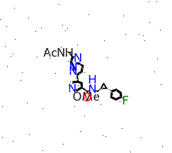 COc1ncc(-c2ccc3nc(NC(C)=O)cn3n2)cc1C(=O)NC[C@H]1C[C@@H]1c1ccc(F)cc1